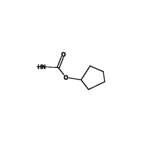 [NH]C(=O)OC1CCCC1